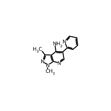 Cc1nn(C)c2ncc(-c3ccccn3)c(N)c12